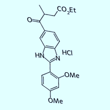 CCOC(=O)CC(C)C(=O)c1ccc2nc(-c3ccc(OC)cc3OC)[nH]c2c1.Cl